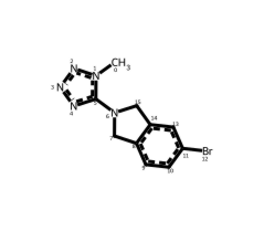 Cn1nnnc1N1Cc2ccc(Br)cc2C1